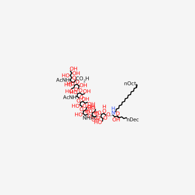 CCCCCCCC/C=C\CCCCCCCCCCCCCC(=O)N[C@@H](CO[C@@H]1OC(CO)[C@@H](O[C@@H]2OC(CO)[C@H](O)[C@H](O[C@@H]3OC(CO)[C@@H](O[C@@H]4OC(CO)[C@H](O)[C@H](O[C@@H]5OC(CO)[C@@H](O[C@@H]6OC(CO)[C@H](O)[C@H](O[C@]7(C(=O)O)CC(O)[C@@H](NC(C)=O)C([C@H](O)[C@H](O)CO)O7)C6O)[C@H](O)C5NC(C)=O)C4O)[C@H](O)C3NC(C)=O)C2O)[C@H](O)C1O)[C@H](O)/C=C/CCCCCCCCCCCCC